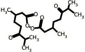 CC(CCC(=O)C(C)C)CC(=O)OOC(=O)CC(C)CCC(=O)C(C)C